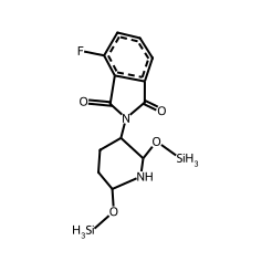 O=C1c2cccc(F)c2C(=O)N1C1CCC(O[SiH3])NC1O[SiH3]